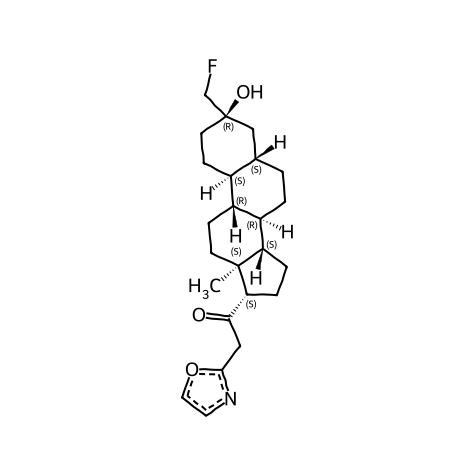 C[C@]12CC[C@H]3[C@@H](CC[C@H]4C[C@@](O)(CF)CC[C@@H]43)[C@@H]1CC[C@@H]2C(=O)Cc1ncco1